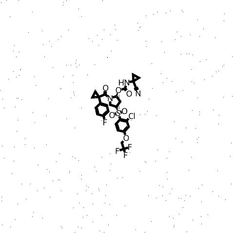 N#CC1(NC(=O)O[C@H]2C[C@@H](S(=O)(=O)c3ccc(OCC(F)(F)F)cc3Cl)CN2C(=O)C2(c3ccc(F)cc3)CC2)CC1